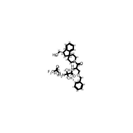 CC(C)(N)C(=O)NC(COCc1ccccc1)C(=O)N1CCC2(CC1)C[C@@H](CO)c1ccccc12.NC(=O)C(F)(F)F